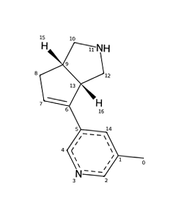 Cc1cncc(C2=CC[C@@H]3CNC[C@H]23)c1